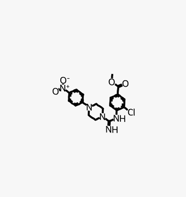 COC(=O)c1ccc(NC(=N)N2CCN(c3ccc([N+](=O)[O-])cc3)CC2)c(Cl)c1